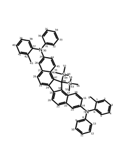 Cc1ccccc1N(c1ccccc1)c1ccc2c3c(ccc2c1)-c1ccc2cc(N(c4ccccc4)c4ccccc4C)ccc2c1C3([Si](C)(C)C)[Si](C)(C)C